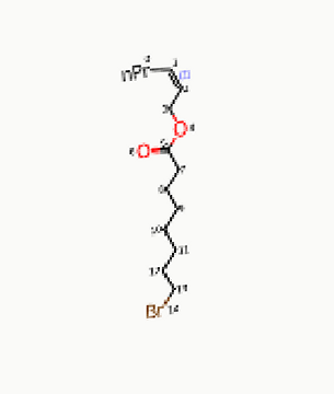 CCC/C=C\COC(=O)CCCCCCCBr